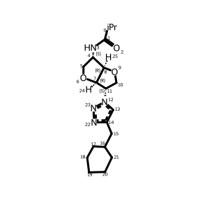 CC(C)C(=O)N[C@H]1CO[C@H]2[C@@H]1OC[C@@H]2n1cc(CC2CCCCC2)nn1